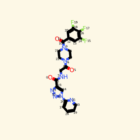 O=C(NCC(=O)N1CCN(C(=O)c2cc(F)c(F)c(F)c2)CC1)c1cn(-c2ccccn2)nn1